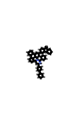 CC1(C)c2ccccc2-c2cc(-c3ccc4c(c3)c3ccccc3c3cccc(-c5cc(-c6ccc(-c7ccccc7)cc6)nc(-c6ccccc6)n5)c34)ccc21